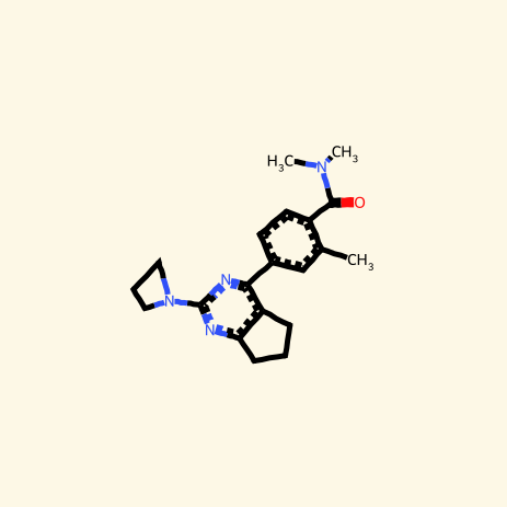 Cc1cc(-c2nc(N3CCC3)nc3c2CCC3)ccc1C(=O)N(C)C